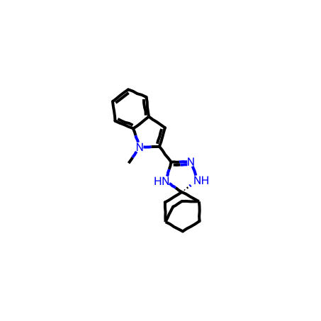 Cn1c(C2=NN[C@]3(CC4CCC3CC4)N2)cc2ccccc21